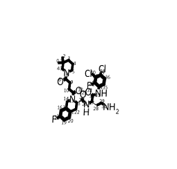 CC1(C)CCCN(C(=O)CCC(=O)N2Cc3cc(F)ccc3C[C@H]2C(=O)N[C@@H](CCN)C(=O)Nc2ccc(Cl)c(Cl)c2F)C1